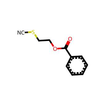 N#CSCCOC(=O)c1ccccc1